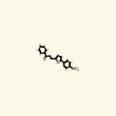 O=C(/C=C/c1ccc(-c2ccc([N+](=O)[O-])cc2)o1)c1ccccc1